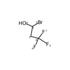 OC(Br)CC(F)(F)F